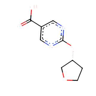 O=C(O)c1cnc(O[C@@H]2CCOC2)nc1